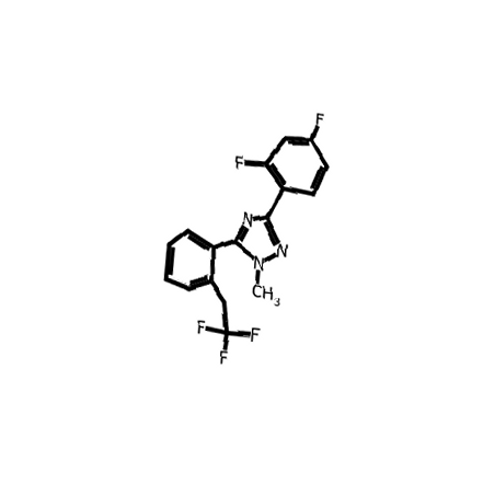 Cn1nc(-c2ccc(F)cc2F)nc1-c1ccccc1CC(F)(F)F